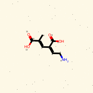 CC(=CC(=CCN)C(=O)O)C(=O)O